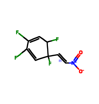 O=[N+]([O-])/C=C/C1(F)C=C(F)C(F)=CC1F